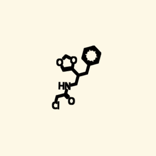 O=C(CCl)NCC(Cc1ccccc1)C1=COCO1